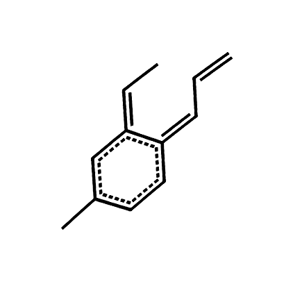 C=C/C=c1/ccc(C)c/c1=C/C